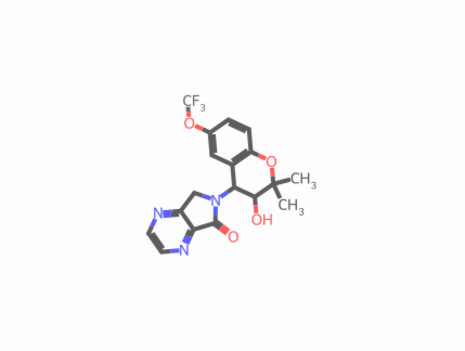 CC1(C)Oc2ccc(OC(F)(F)F)cc2C(N2Cc3nccnc3C2=O)C1O